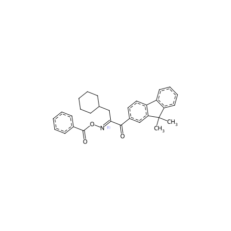 CC1(C)c2ccccc2-c2ccc(C(=O)/C(CC3CCCCC3)=N/OC(=O)c3ccccc3)cc21